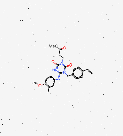 C=Cc1ccc(Cn2c(=O)n(C[C@H](C)C(=O)OC)c(=O)[nH]/c2=N\c2ccc(OC(C)C)c(C)c2)cc1